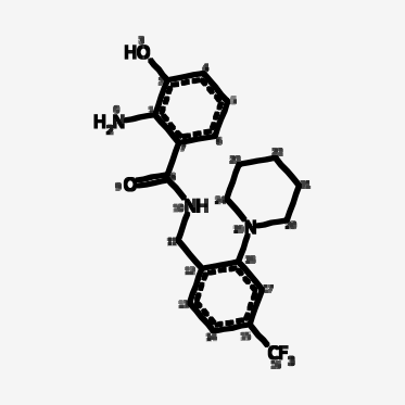 Nc1c(O)cccc1C(=O)NCc1ccc(C(F)(F)F)cc1N1CCCCC1